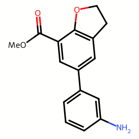 COC(=O)c1cc(-c2cccc(N)c2)cc2c1OCC2